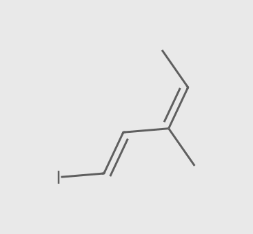 CC=C(C)C=CI